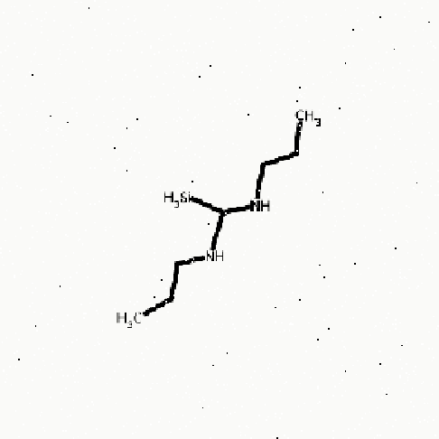 CCCNC([SiH3])NCCC